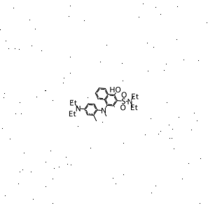 CCN(CC)c1ccc(N(C)c2cc(S(=O)(=O)N(CC)CC)c(O)c3ccccc23)c(C)c1